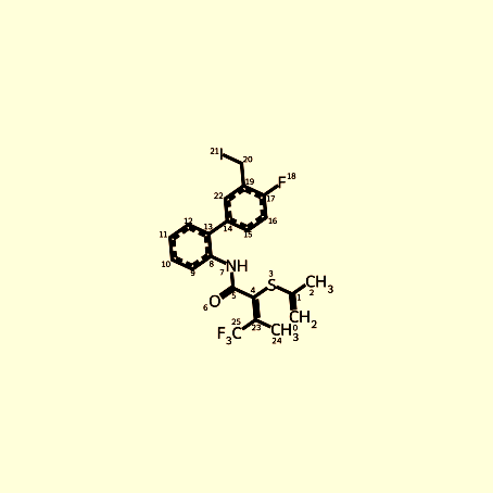 C=C(C)S/C(C(=O)Nc1ccccc1-c1ccc(F)c(CI)c1)=C(\C)C(F)(F)F